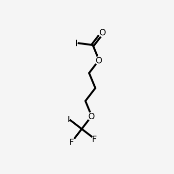 O=C(I)OCCCOC(F)(F)I